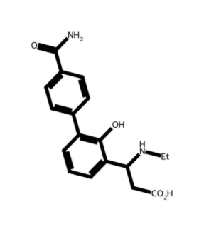 CCNC(CC(=O)O)c1cccc(-c2ccc(C(N)=O)cc2)c1O